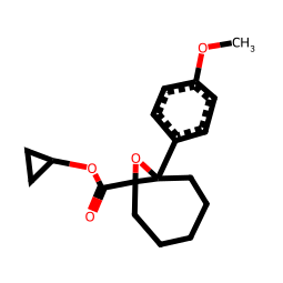 COc1ccc(C23CCCCCC2(C(=O)OC2CC2)O3)cc1